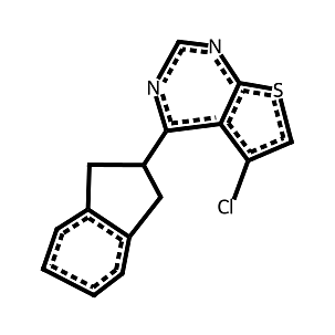 Clc1csc2ncnc(C3Cc4ccccc4C3)c12